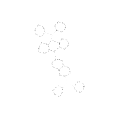 c1ccc(N(c2ccccc2)c2ccc3cc(-c4c5ccccc5c(N(c5ccccc5)c5ccccc5)c5ccccc45)ccc3c2)cc1